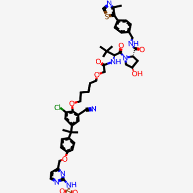 Cc1ncsc1-c1ccc(CNC(=O)[C@@H]2C[C@@H](O)CN2C(=O)[C@@H](NC(=O)COCCCCCOc2c(Cl)cc(C(C)(C)c3ccc(OCc4ccnc(NS(C)(=O)=O)n4)cc3)cc2C#N)C(C)(C)C)cc1